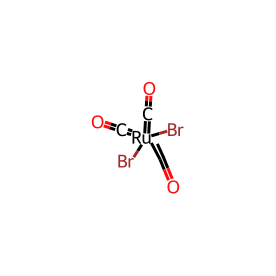 O=[C]=[Ru]([Br])([Br])(=[C]=O)=[C]=O